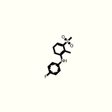 CC1=C(Nc2ccc(F)cc2)[CH]CC=C1S(C)(=O)=O